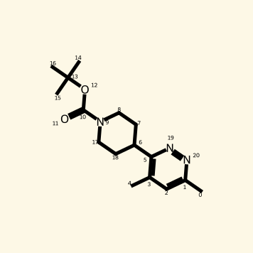 Cc1cc(C)c(C2CCN(C(=O)OC(C)(C)C)CC2)nn1